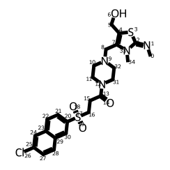 CN=c1sc(CO)c(CN2CCN(C(=O)CCS(=O)(=O)c3ccc4cc(Cl)ccc4c3)CC2)n1C